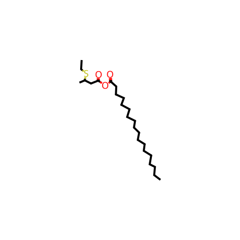 CCCCCCCCCCCCCCCCCC(=O)OC(=O)CC(C)SCC